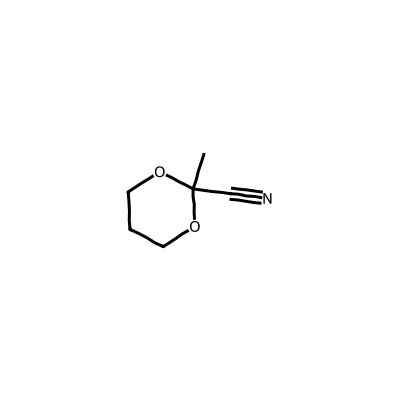 CC1(C#N)OCCCO1